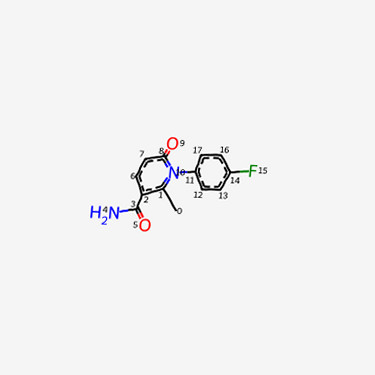 Cc1c(C(N)=O)ccc(=O)n1-c1ccc(F)cc1